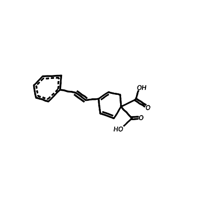 O=C(O)C1(C(=O)O)C=CC(C#Cc2ccccc2)=CC1